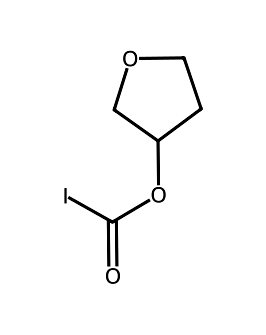 O=C(I)OC1CCOC1